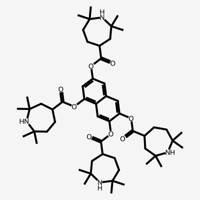 CC1(C)CCC(C(=O)Oc2cc(OC(=O)C3CCC(C)(C)NC(C)(C)C3)c3cc(OC(=O)C4CCC(C)(C)NC(C)(C)C4)c(OC(=O)C4CCC(C)(C)NC(C)(C)C4)cc3c2)CC(C)(C)N1